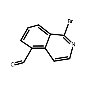 O=Cc1cccc2c(Br)nccc12